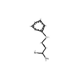 OC(Br)CCOc1ccccc1